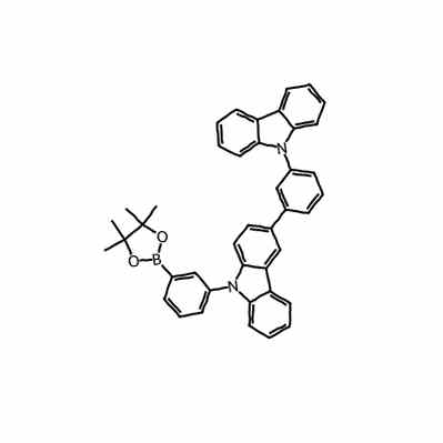 CC1(C)OB(c2cccc(-n3c4ccccc4c4cc(-c5cccc(-n6c7ccccc7c7ccccc76)c5)ccc43)c2)OC1(C)C